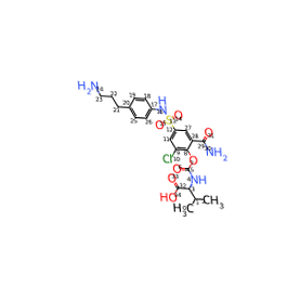 CC(C)[C@H](NC(=O)Oc1c(Cl)cc(S(=O)(=O)Nc2ccc(CCCN)cc2)cc1C(N)=O)C(=O)O